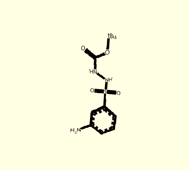 CC(C)(C)OC(=O)NNS(=O)(=O)c1cccc(N)c1